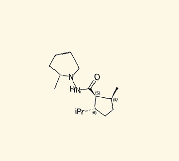 CC(C)[C@H]1CC[C@H](C)[C@@H]1C(=O)NN1CCCCC1C